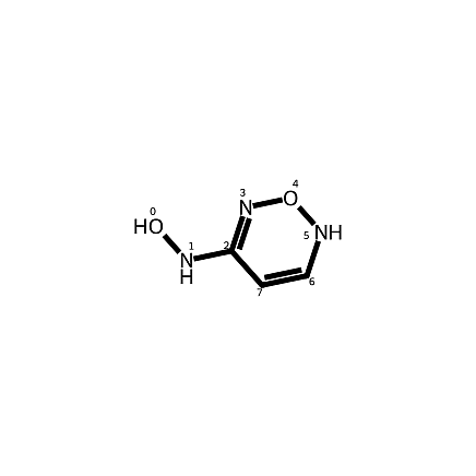 ONC1=NONC=C1